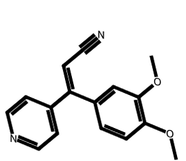 COc1ccc(/C(=C\C#N)c2ccncc2)cc1OC